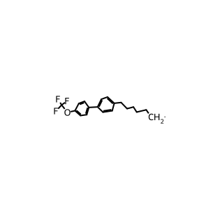 [CH2]CCCCCc1ccc(-c2ccc(OC(F)(F)F)cc2)cc1